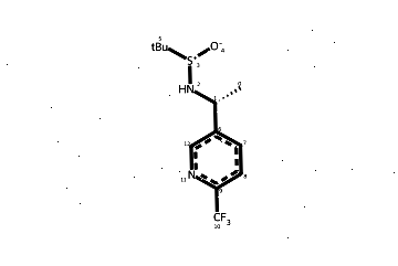 C[C@@H](N[S+]([O-])C(C)(C)C)c1ccc(C(F)(F)F)nc1